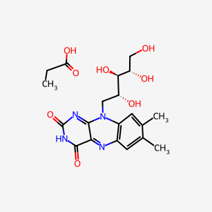 CCC(=O)O.Cc1cc2nc3c(=O)[nH]c(=O)nc-3n(C[C@@H](O)[C@@H](O)[C@@H](O)CO)c2cc1C